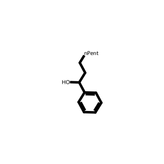 CCCCCCCC(O)c1ccccc1